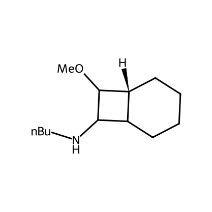 CCCCNC1C2CCCC[C@H]2C1OC